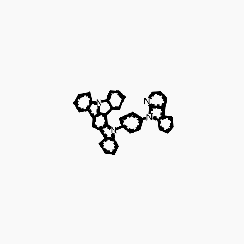 C1=CCC2C(=C1)n1c3ccccc3c3cc4c5ccccc5n(-c5ccc(-n6c7ccccc7c7cccnc76)cc5)c4c2c31